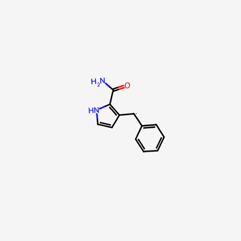 NC(=O)c1[nH]ccc1[CH]c1ccccc1